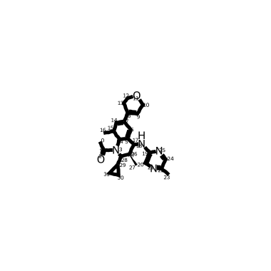 CC(=O)N1C2C(=CC(C3=CCOCC3)=CC2C)C(Nc2cnc(C)cn2)[C@@H](C)C1C1CC1